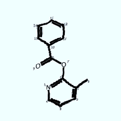 Cc1cccnc1OC(=O)c1ccccc1